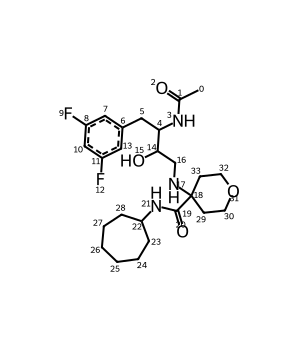 CC(=O)NC(Cc1cc(F)cc(F)c1)C(O)CNC1(C(=O)NC2CCCCCC2)CCOCC1